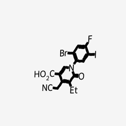 CCc1c(CC#N)c(C(=O)O)cn(-c2cc(I)c(F)cc2Br)c1=O